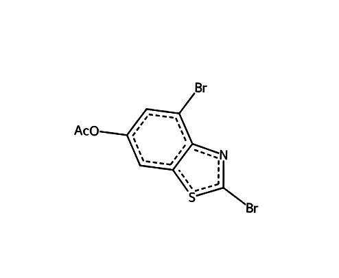 CC(=O)Oc1cc(Br)c2nc(Br)sc2c1